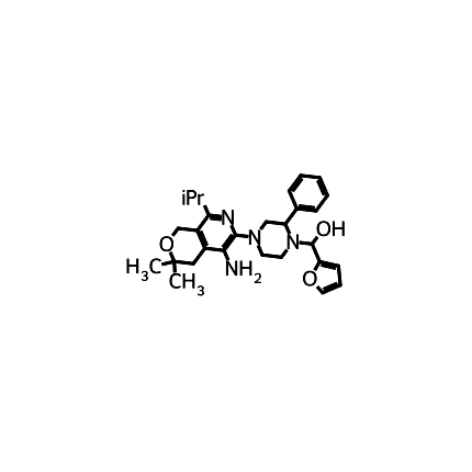 CC(C)c1nc(N2CCN(C(O)c3ccco3)C(c3ccccc3)C2)c(N)c2c1COC(C)(C)C2